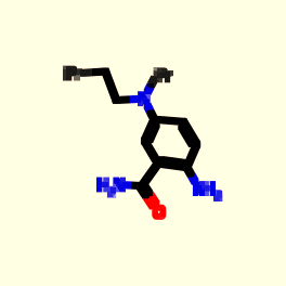 CC(C)CCN(c1ccc(N)c(C(N)=O)c1)C(C)C